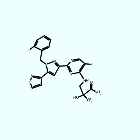 NC(=O)C(O)(CNc1nc(-c2cc(-c3ccon3)n(Cc3ccccc3F)n2)ncc1F)C(F)(F)F